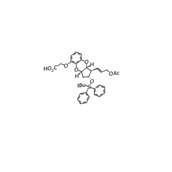 CC(=O)OC/C=C/[C@@H]1[C@H]2Oc3cccc(OCC(=O)O)c3O[C@H]2C[C@H]1O[Si](c1ccccc1)(c1ccccc1)C(C)(C)C